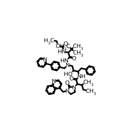 CCOC(=O)NC(C(=O)NN(Cc1ccc(-c2ccccn2)cc1)CC(O)C(Cc1ccccc1)NC(=O)C(C(C)CC)N1CCN(Cc2ccnc3ccccc23)C1=O)C(C)(C)C